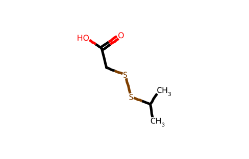 CC(C)SSCC(=O)O